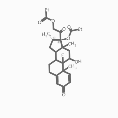 CCC(=O)OCC(=O)[C@@]1(OC(=O)CC)[C@@H](C)CC2C3CCC4=CC(=O)C=CC4(C)C3(F)C(O)CC21C